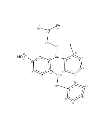 CC(C)N(CCC(c1ccccc1I)c1cc(C(=O)O)ccc1OCc1ccccc1)C(C)C